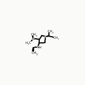 C=CNC1CN(C(C)C)CC1N(C)C